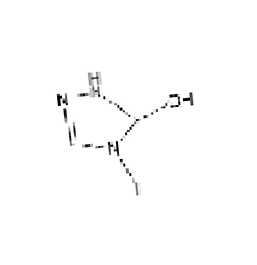 OC1NN=CN1I